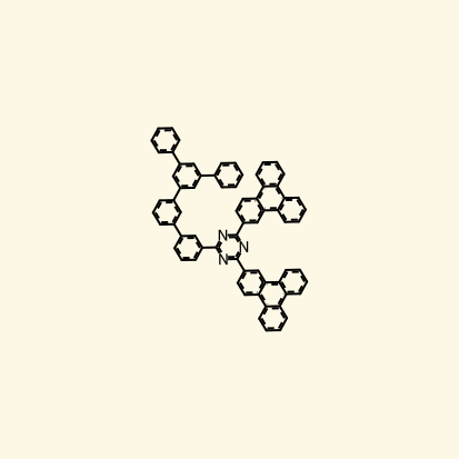 c1ccc(-c2cc(-c3ccccc3)cc(-c3cccc(-c4cccc(-c5nc(-c6ccc7c8ccccc8c8ccccc8c7c6)nc(-c6ccc7c8ccccc8c8ccccc8c7c6)n5)c4)c3)c2)cc1